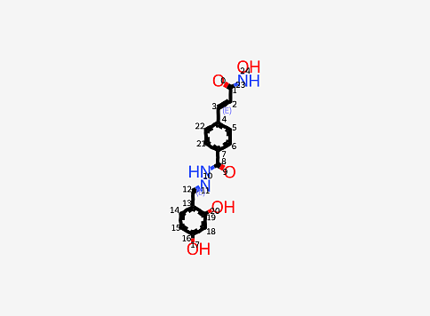 O=C(/C=C/c1ccc(C(=O)N/N=C/c2ccc(O)cc2O)cc1)NO